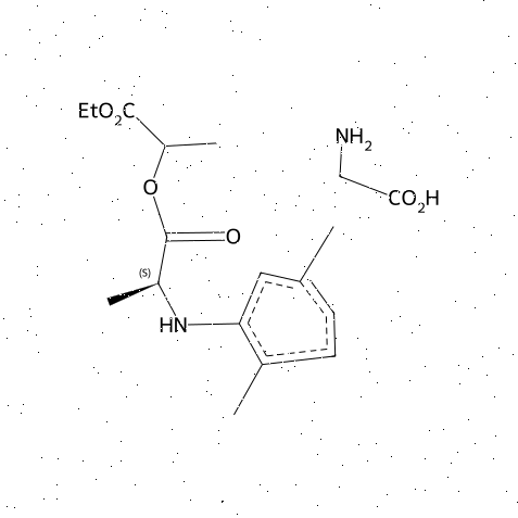 CCOC(=O)C(C)OC(=O)[C@H](C)Nc1cc(C)ccc1C.NCC(=O)O